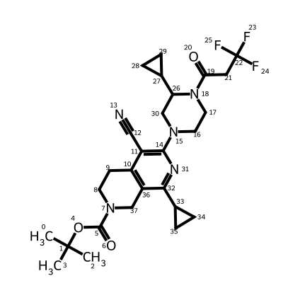 CC(C)(C)OC(=O)N1CCc2c(C#N)c(N3CCN(C(=O)CC(F)(F)F)C(C4CC4)C3)nc(C3CC3)c2C1